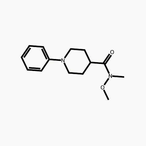 CON(C)C(=O)C1CCN(c2ccccc2)CC1